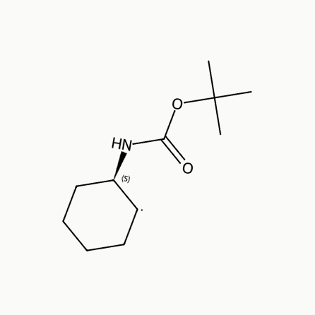 CC(C)(C)OC(=O)N[C@H]1[CH]CCCC1